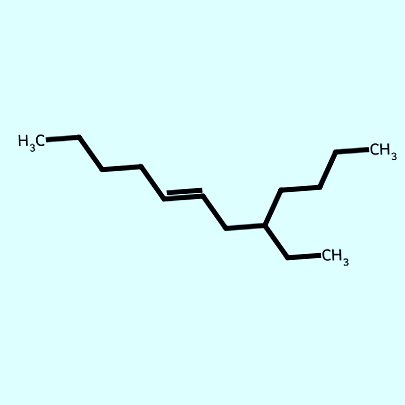 CCCCC=CCC(CC)CCCC